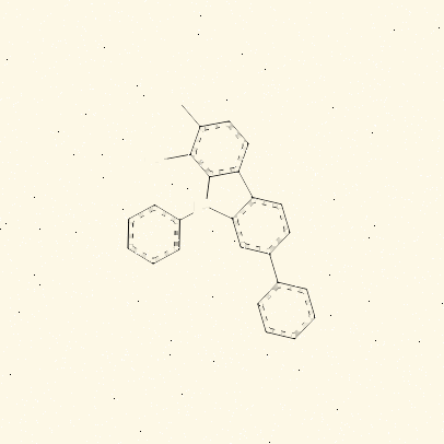 Cc1ccc2c(c1C(C)(C)C)[SiH](c1ccccc1)c1cc(-c3ccccc3)ccc1-2